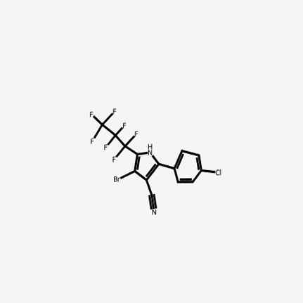 N#Cc1c(-c2ccc(Cl)cc2)[nH]c(C(F)(F)C(F)(F)C(F)(F)F)c1Br